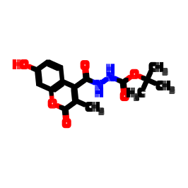 Cc1c(C(=O)NNC(=O)OC(C)(C)C)c2ccc(O)cc2oc1=O